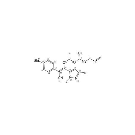 C=CCOC(=O)OC(C)O/C(=C(/C#N)c1ccc(C(C)(C)C)cc1)c1cc(C)nn1C